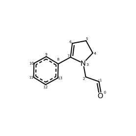 O=[C]CN1CCC=C1c1ccccc1